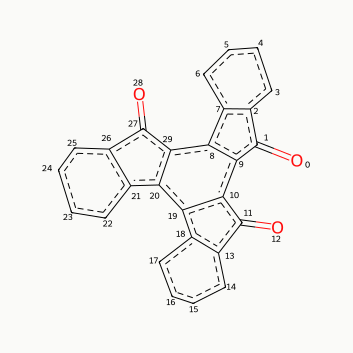 O=c1c2ccccc2c2c1c1c(=O)c3ccccc3c1c1c3ccccc3c(=O)c21